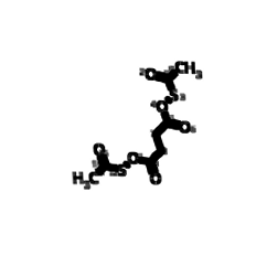 CC(=O)SOC(=O)CCC(=O)OSC(C)=O